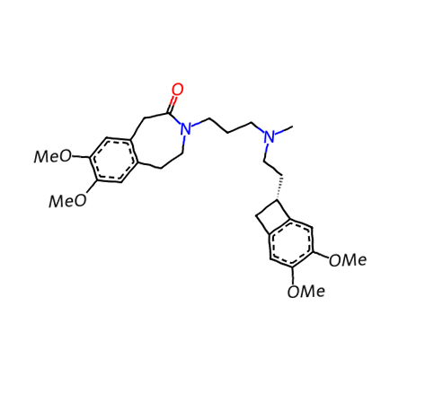 COc1cc2c(cc1OC)CC(=O)N(CCCN(C)CC[C@H]1Cc3cc(OC)c(OC)cc31)CC2